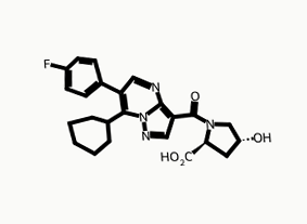 O=C(O)[C@@H]1C[C@@H](O)CN1C(=O)c1cnn2c(C3CCCCC3)c(-c3ccc(F)cc3)cnc12